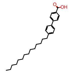 CCCCCCCCCCCCCCc1ccc(-c2ccc(C(=O)O)cc2)cc1